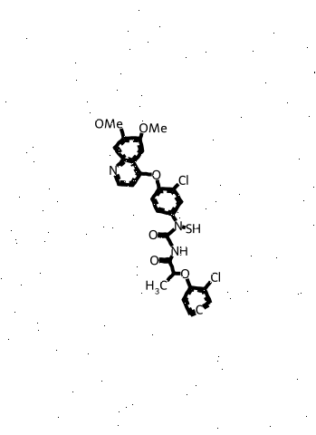 COc1cc2nccc(Oc3ccc(N(S)C(=O)NC(=O)C(C)Oc4ccccc4Cl)cc3Cl)c2cc1OC